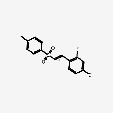 Cc1ccc(S(=O)(=O)/C=C/c2ccc(Cl)cc2F)cc1